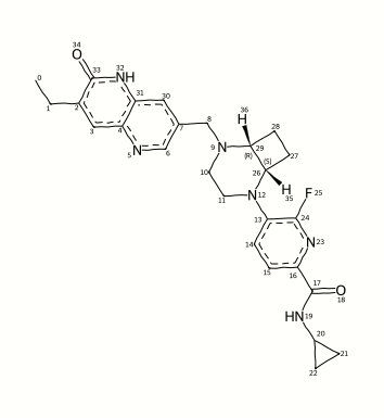 CCc1cc2ncc(CN3CCN(c4ccc(C(=O)NC5CC5)nc4F)[C@H]4CC[C@H]43)cc2[nH]c1=O